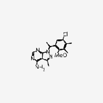 COc1c(C(C)n2nc(C)c3c(N)ncnc32)cc(Cl)c(C)c1C